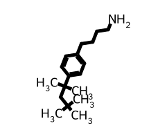 CC(C)(C)CC(C)(C)c1ccc(CCCCN)cc1